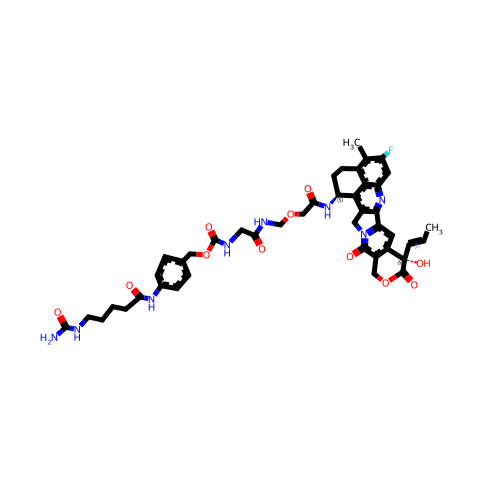 C/C=C/[C@@]1(O)C(=O)OCc2c1cc1n(c2=O)Cc2c-1nc1cc(F)c(C)c3c1c2[C@@H](NC(=O)COCNC(=O)CNC(=O)OCc1ccc(NC(=O)CCCCNC(N)=O)cc1)CC3